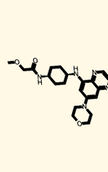 COCC(=O)N[C@H]1CC[C@@H](Nc2cc(N3CCOCC3)cc3nccnc23)CC1